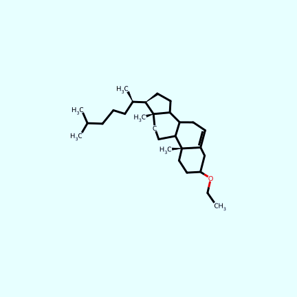 CCOC1CC[C@@]2(C)C(=CCC3C2CC[C@@]2(C)C3CC[C@@H]2[C@H](C)CCCC(C)C)C1